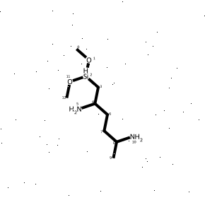 CO[SiH](CC(N)CCC(C)N)OC